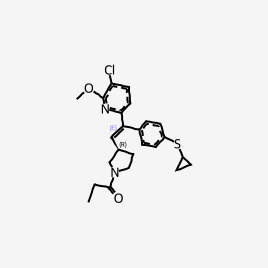 CCC(=O)N1CC[C@H](/C=C(\c2ccc(SC3CC3)cc2)c2ccc(Cl)c(OC)n2)C1